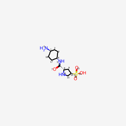 N[C@H]1CC[C@H](NC(=O)[C@@H]2C[C@@H](S(=O)(=O)O)CN2)CC1